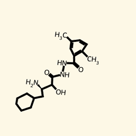 Cc1ccc(C)c(C(=O)NNC(=O)C(O)[C@H](N)CC2CCCCC2)c1